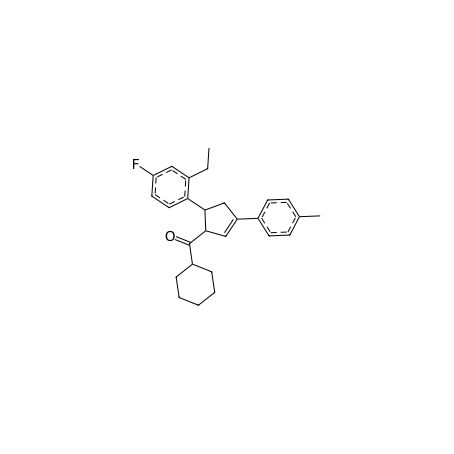 CCc1cc(F)ccc1C1CC(c2ccc(C)cc2)=CC1C(=O)C1CCCCC1